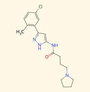 Cc1ccc(Cl)cc1-c1cc(NC(=O)CCCN2CCCC2)[nH]n1